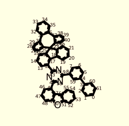 c1ccc(-c2cccc(-c3nc(-c4cccc5c4-c4ccccc4C54c5ccccc5-c5ccccc5-c5ccccc54)nc(-c4cccc5oc6ccccc6c45)n3)c2)cc1